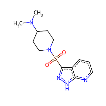 CN(C)C1CCN(S(=O)(=O)c2n[nH]c3ncccc23)CC1